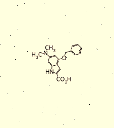 CN(C)c1cc(OCc2ccccc2)c2cc(C(=O)O)[nH]c2c1